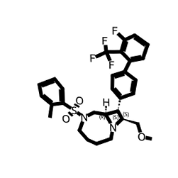 COC[C@@H]1[C@@H](c2ccc(-c3cccc(F)c3C(F)(F)F)cc2)[C@@H]2CN(S(=O)(=O)c3ccccc3C)CCCCN12